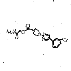 CNC(=O)COC(=O)N1CCN(c2ncc(-c3cccc(Cl)c3)cn2)CC1